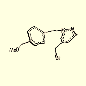 COc1ccc(Cn2nccc2CBr)cc1